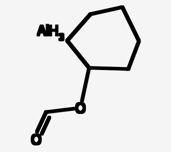 O=COC1CCCCC1.[AlH3]